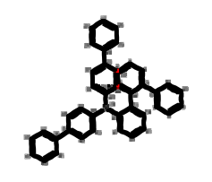 Nc1cccc(-c2ccccc2)c1-c1ccccc1N(c1ccc(-c2ccccc2)cc1)c1ccc(-c2ccccc2)cc1